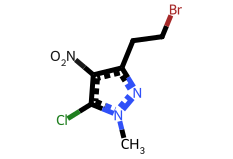 Cn1nc(CCBr)c([N+](=O)[O-])c1Cl